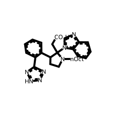 CCCCCCCCN1CCC(c2ccccc2-c2nn[nH]n2)C1(CC(=O)O)n1cnc2ccccc21